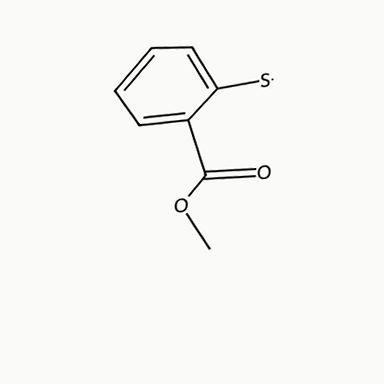 COC(=O)c1ccccc1[S]